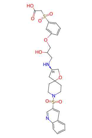 O=C(O)CS(=O)(=O)c1cccc(OCC(O)CN[C@H]2COC3(CCN(S(=O)(=O)c4cnc5ccccc5c4)CC3)C2)c1